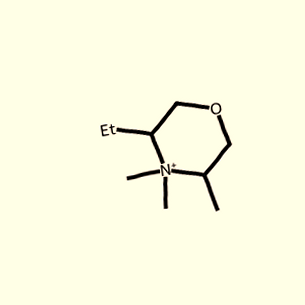 CCC1COCC(C)[N+]1(C)C